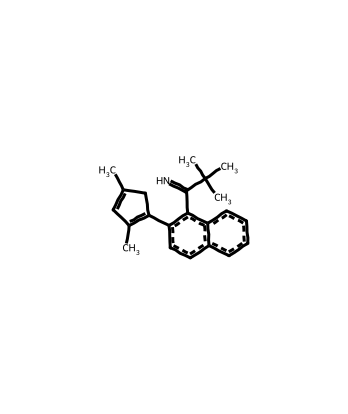 CC1=CC(C)=C(c2ccc3ccccc3c2C(=N)C(C)(C)C)C1